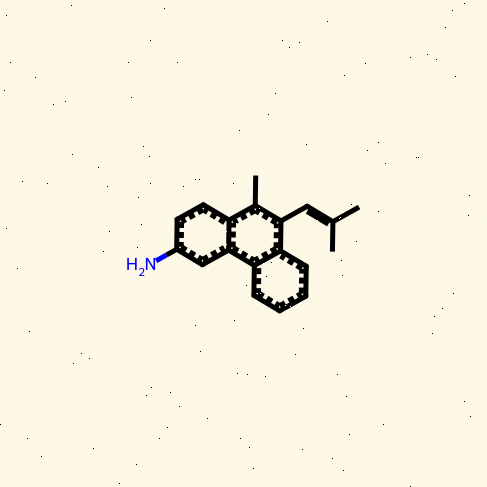 CC(C)=Cc1c(C)c2ccc(N)cc2c2ccccc12